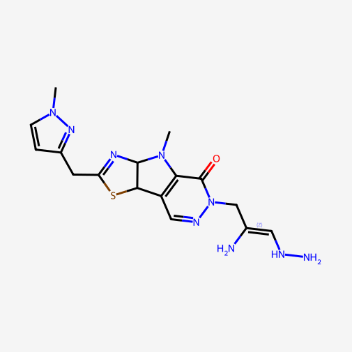 CN1c2c(cnn(C/C(N)=C/NN)c2=O)C2SC(Cc3ccn(C)n3)=NC21